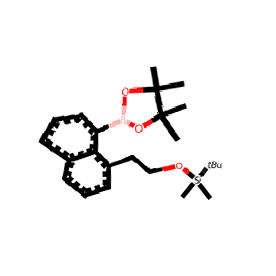 CC1(C)OB(c2cccc3cccc(CCO[Si](C)(C)C(C)(C)C)c23)OC1(C)C